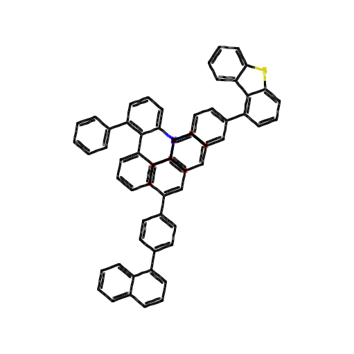 c1ccc(-c2ccccc2-c2c(-c3ccccc3)cccc2N(c2ccc(-c3ccc(-c4cccc5ccccc45)cc3)cc2)c2ccc(-c3cccc4sc5ccccc5c34)cc2)cc1